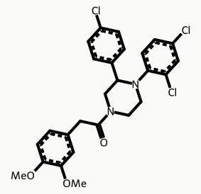 COc1ccc(CC(=O)N2CCN(c3ccc(Cl)cc3Cl)C(c3ccc(Cl)cc3)C2)cc1OC